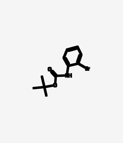 CC(C)(C)OC(=O)Nc1ccccc1Br